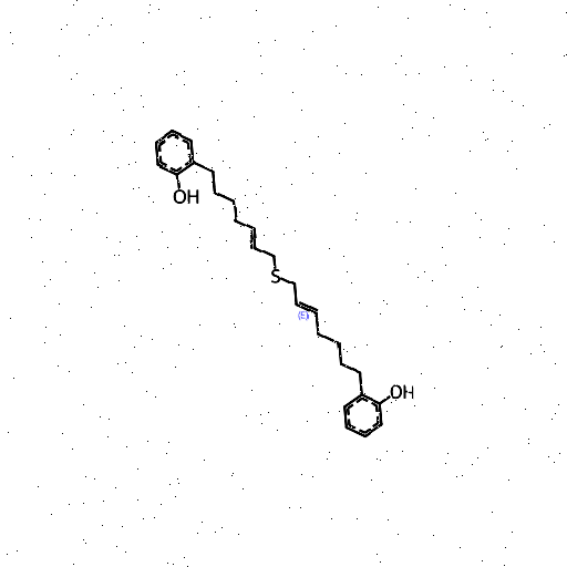 Oc1ccccc1CCCCC=CCSC/C=C/CCCCc1ccccc1O